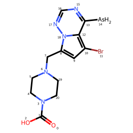 O=C(O)N1CCN(Cc2cc(Br)c3c([AsH2])ncnn23)CC1